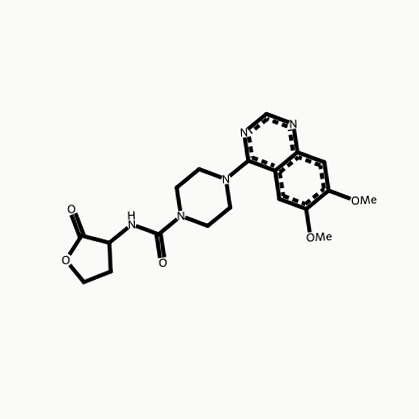 COc1cc2ncnc(N3CCN(C(=O)NC4CCOC4=O)CC3)c2cc1OC